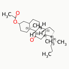 CCC[C@@H](C)[C@H]1CC[C@H]2[C@@H]3CCC4CC(OC(C)=O)CC[C@]4(C)[C@H]3C(=O)C[C@]12C